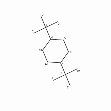 CC(C)(C)C1CCC(C(C)(C)C)CC1